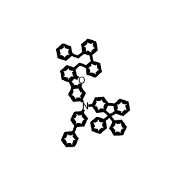 c1ccc(Cc2ccccc2-c2ccccc2Cc2cccc3c2oc2cc(N(c4ccc(-c5ccccc5)cc4)c4ccc5c(c4)C(c4ccccc4)(c4ccccc4)c4ccccc4-5)ccc23)cc1